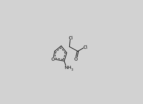 Nc1ccco1.O=C(Cl)CCl